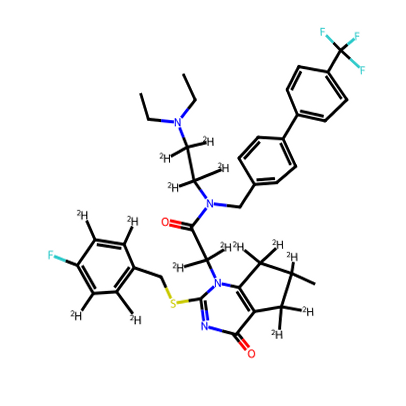 [2H]c1c([2H])c(CSc2nc(=O)c3c(n2C([2H])([2H])C(=O)N(Cc2ccc(-c4ccc(C(F)(F)F)cc4)cc2)C([2H])([2H])C([2H])([2H])N(CC)CC)C([2H])([2H])C([2H])(C)C3([2H])[2H])c([2H])c([2H])c1F